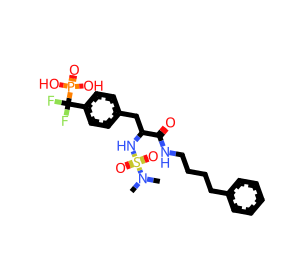 CN(C)S(=O)(=O)NC(Cc1ccc(C(F)(F)P(=O)(O)O)cc1)C(=O)NCCCCc1ccccc1